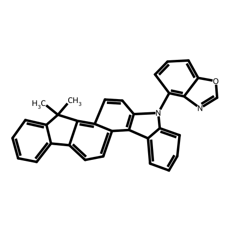 CC1(C)c2ccccc2-c2ccc3c(ccc4c3c3ccccc3n4-c3cccc4ocnc34)c21